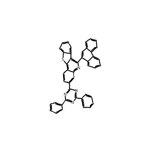 c1ccc(-c2nc(-c3ccccc3)nc(-c3ccc4c(c3)nc(-c3cc5ccccc5c5ccccc35)c3c5ccccc5sc43)n2)cc1